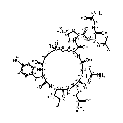 CC[C@H](C)[C@@H]1NC(=O)[C@@H](Cc2ccc(O)cc2)NC(=O)CCS(=O)(=O)CC[C@@H](C(=O)N2C[C@H](O)C[C@H]2C(=O)N[C@@H](CC(C)C)C(=O)NCC(N)=O)NC(=O)[C@H](CC(N)=O)NC(=O)[C@H](CCC(N)=O)NC1=O